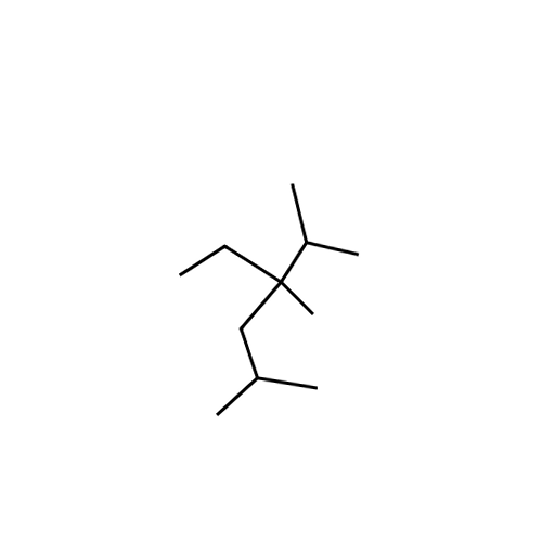 CCC(C)(CC(C)C)C(C)C